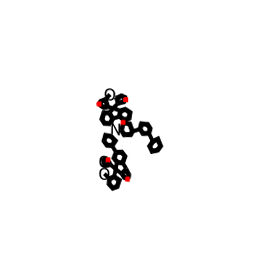 c1ccc(-c2cccc(-c3ccc(N(c4cccc(-c5ccc6c(c5)C5(c7ccccc7Oc7ccccc75)c5ccccc5-6)c4)c4cccc5c4-c4ccccc4C54c5ccccc5Oc5ccccc54)cc3)c2)cc1